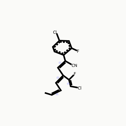 C\C=C/C=C(/C=C(\C#N)c1ccc(Cl)cc1F)C(\F)=C\Cl